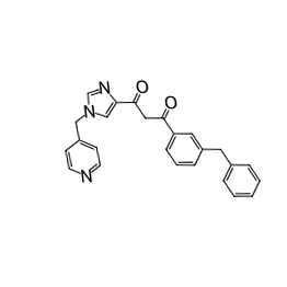 O=C(CC(=O)c1cn(Cc2ccncc2)cn1)c1cccc(Cc2ccccc2)c1